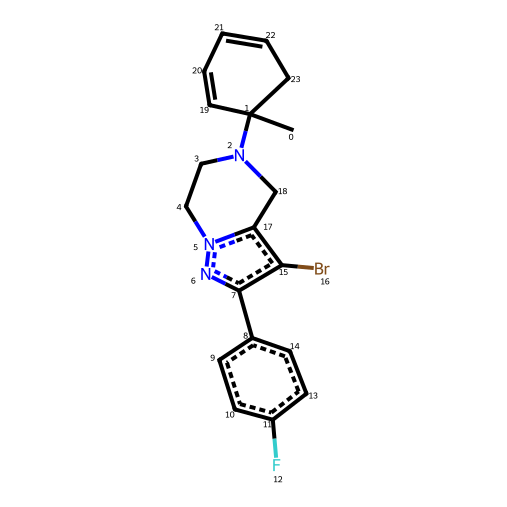 CC1(N2CCn3nc(-c4ccc(F)cc4)c(Br)c3C2)C=CC=CC1